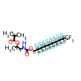 C=C(C)C(=O)OC(C)CNC(=O)OCC(F)(F)C(F)(F)C(F)(F)C(F)(F)C(F)(F)C(F)(F)C(F)(F)C(F)(F)C(F)(F)F